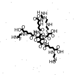 CC(C(=O)NC(=O)CCCC(NCC=NO)C(=O)O)C(C(=O)NC(=O)C(SCCNCC=N)C(=O)O)C(C(=O)NC(=O)CCCC(NCC=N)C(=O)O)C(=O)NC(=O)CCCC(NCC(=N)F)C(=O)O